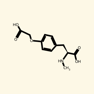 CN[C@@H](Cc1ccc(OCC(=O)O)cc1)C(=O)O